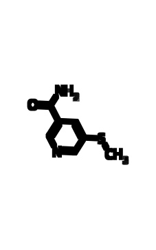 CSc1cncc(C(N)=O)c1